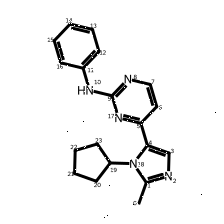 Cc1ncc(-c2ccnc(Nc3ccccc3)n2)n1C1CCCC1